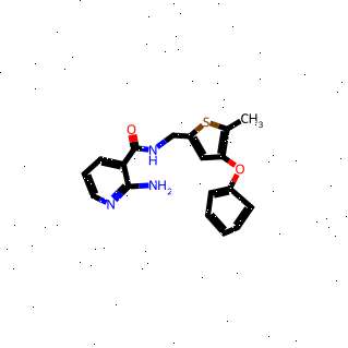 Cc1sc(CNC(=O)c2cccnc2N)cc1Oc1ccccc1